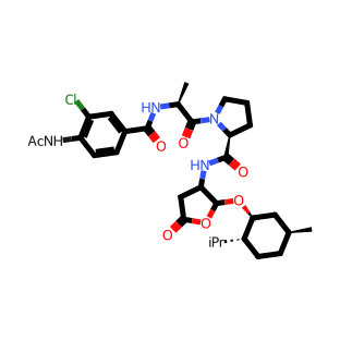 CC(=O)Nc1ccc(C(=O)N[C@@H](C)C(=O)N2CCC[C@H]2C(=O)NC2CC(=O)OC2O[C@H]2C[C@@H](C)CC[C@@H]2C(C)C)cc1Cl